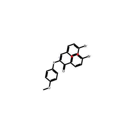 COc1ccc(S/C(=C/c2ccc(Br)cc2)C(=O)c2ccc(Br)cc2)cc1